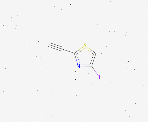 C#Cc1nc(I)cs1